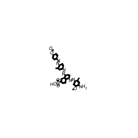 COc1cc(N=Nc2ccc(N=Nc3ccc(N=Nc4ccc(OC=O)cc4)c(C)c3)c3cc(S(=O)(=O)O)ccc23)c(C)cc1N